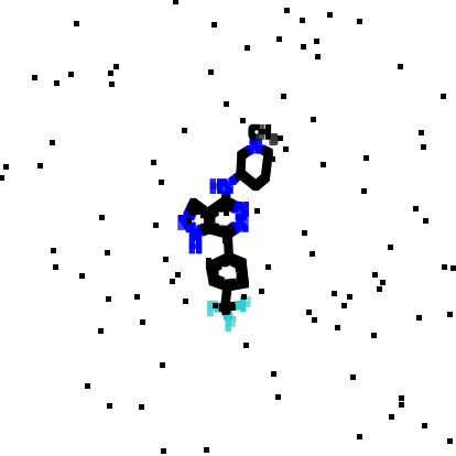 CN1CCC[C@@H](Nc2nnc(-c3ccc(C(F)(F)F)cc3)c3[nH]ncc23)C1